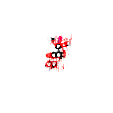 [2H]C([2H])([2H])Oc1cc([C@@H]2c3cc4c(cc3[C@@H](O[C@@H]3O[C@@H]5CO[C@@H](C)O[C@H]5[C@H](O)[C@H]3O)[C@H]3COC(=O)[C@H]23)OCO4)cc(OC([2H])([2H])[2H])c1OP(=O)(O)O